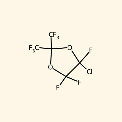 FC(F)(F)C1(C(F)(F)F)OC(F)(F)C(F)(Cl)O1